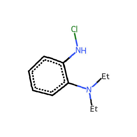 CCN(CC)c1ccccc1NCl